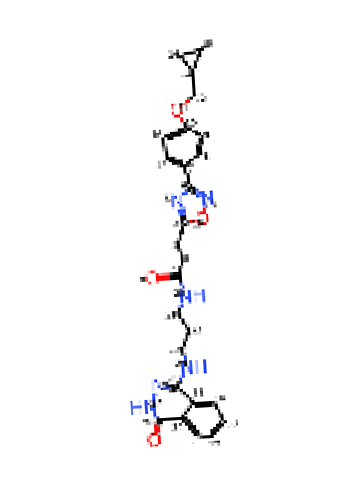 O=C(CCc1nc(-c2ccc(OCC3CC3)cc2)no1)NCCCNc1n[nH]c(=O)c2ccccc12